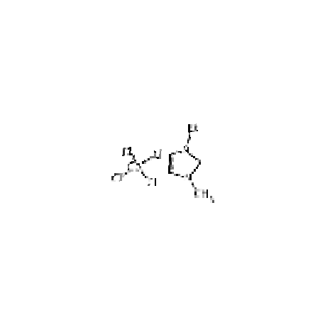 CCN1C=CN(C)C1.[Cl][Co]([Cl])([Cl])[Cl]